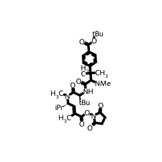 CNC(C(=O)N[C@H](C(=O)N(C)[C@H](/C=C(\C)C(=O)ON1C(=O)CCC1=O)C(C)C)C(C)(C)C)C(C)(C)c1ccc(C(=O)OC(C)(C)C)cc1